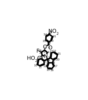 O=C(O[C@@H]1CN(C2(c3ccccc3)c3ccccc3-c3ccccc32)[C@@H](C(=O)O)[C@H]1F)c1ccc([N+](=O)[O-])cc1